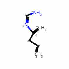 C=CCC(=C)/N=C\N